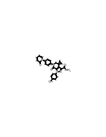 NC(=O)c1nn(-c2ccc(Cl)cc2)c2c1C1(CC1)CN(c1ccc(-n3ccccc3=O)cc1)C2=O